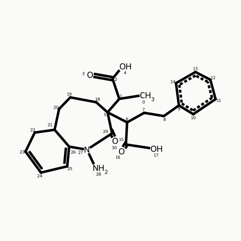 CC(C(=O)O)C1(C(CCc2ccccc2)C(=O)O)CCCC2CC=CC=C2N(N)C1=O